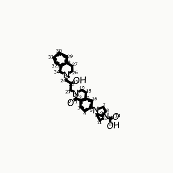 O=C1c2ccc(N3CC4CC3CN4C(=O)O)cc2CCN1CC(O)CN1CCc2ccccc2C1